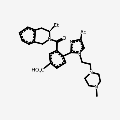 CC[C@@H]1Cc2ccccc2CN1C(=O)c1cc(C(=O)O)ccc1-c1nc(C(C)=O)cn1CCN1CCN(C)CC1